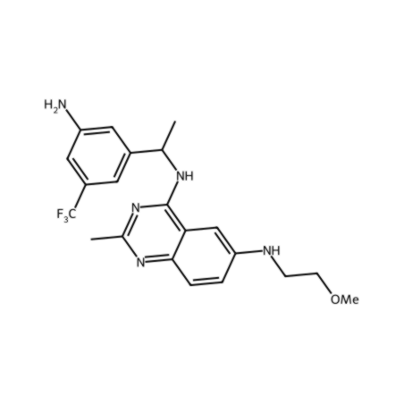 COCCNc1ccc2nc(C)nc(NC(C)c3cc(N)cc(C(F)(F)F)c3)c2c1